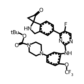 CC(C)(C)OC(=O)N1CCN(c2ccc(OC(F)(F)F)c(Nc3ncc(F)c(-c4ccc5c(c4)CNC54CC4=O)n3)c2)CC1